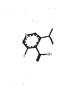 C=C(O)c1c(F)cncc1C(C)C